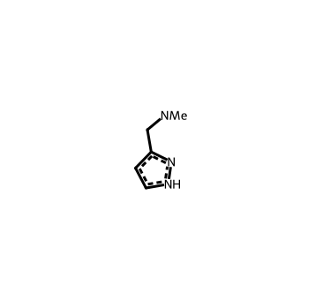 CNCc1cc[nH]n1